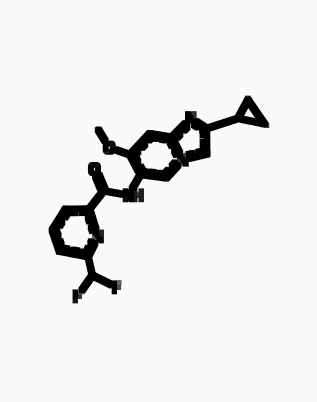 COc1cc2nc(C3CC3)cn2cc1NC(=O)c1cccc(C(F)F)n1